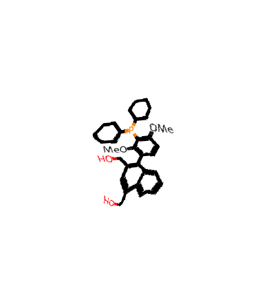 COc1ccc(-c2c(CO)cc(CO)c3ccccc23)c(OC)c1P(C1CCCCC1)C1CCCCC1